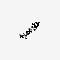 Cc1nc(Cl)ccc1S(=O)(=O)N1CC2(CN(C(=O)OC(C)(C)C)C2)C1